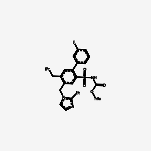 CCCCOC(=O)NS(=O)(=O)c1cc(Cn2ccnc2CC)c(CC(C)C)cc1-c1cccc(F)c1